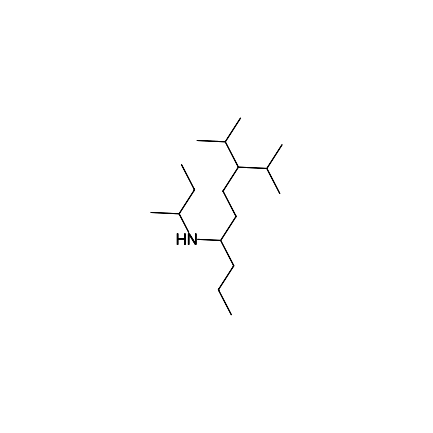 CCCC(CCC(C(C)C)C(C)C)NC(C)CC